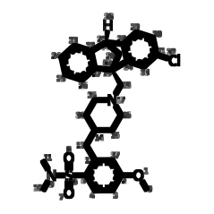 COc1ccc(S(=O)(=O)N(C)C)c(CC2CCN(C[C@]34C[C@H](c5ccccc53)c3ccc(Cl)cc34)CC2)c1